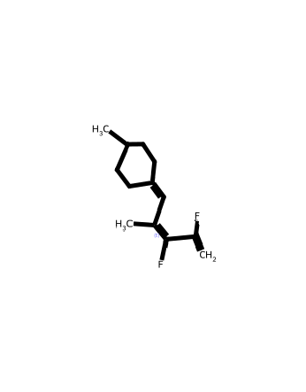 C=C(F)/C(F)=C(/C)C=C1CCC(C)CC1